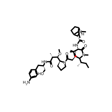 CC[C@H](C)C([C@@H](CC(=O)N1CCC[C@H]1[C@H](OC)[C@@H](C)C(=O)N[C@H](CO)Cc1ccc(N)cc1)OC)N(C)C(=O)[C@@H](NC(=O)[C@@H]1C2CCC([C@H]2C)N1C)C(C)C